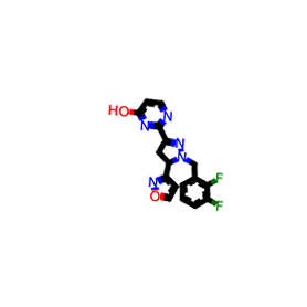 Oc1ccnc(C2=NN(Cc3cccc(F)c3F)C(c3ccon3)C2)n1